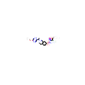 CCOc1cnc(C(C)N2CCc3ccc(S(=O)(=O)Nc4noc(C(C)(C)C)c4Cl)cc3C2)cn1